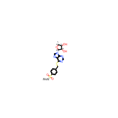 CNS(=O)(=O)c1ccc(CSc2ncnc3c2ncn3[C@@H]2O[C@H](C)[C@@H](O)[C@H]2O)cc1